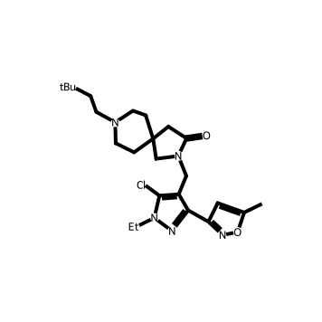 CCn1nc(-c2cc(C)on2)c(CN2CC3(CCN(CCC(C)(C)C)CC3)CC2=O)c1Cl